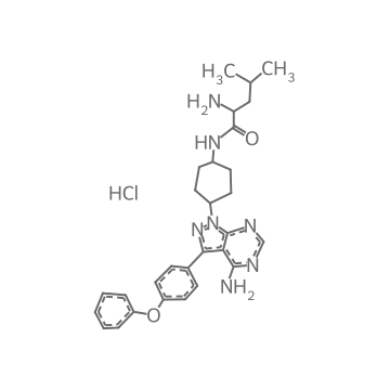 CC(C)CC(N)C(=O)NC1CCC(n2nc(-c3ccc(Oc4ccccc4)cc3)c3c(N)ncnc32)CC1.Cl